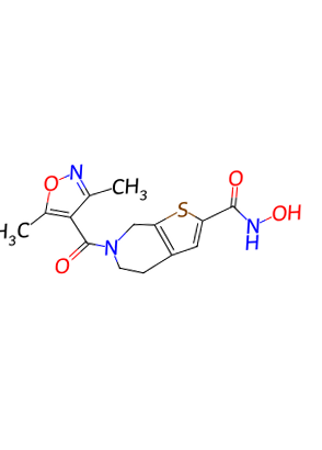 Cc1noc(C)c1C(=O)N1CCc2cc(C(=O)NO)sc2C1